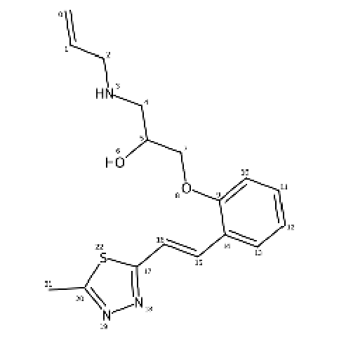 C=CCNCC(O)COc1ccccc1C=Cc1nnc(C)s1